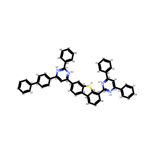 c1ccc(-c2ccc(-c3cc(-c4ccc5c(c4)sc4c(-c6nc(-c7ccccc7)cc(-c7ccccc7)n6)cccc45)nc(-c4ccccc4)n3)cc2)cc1